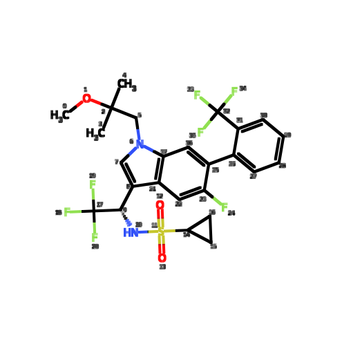 COC(C)(C)Cn1cc([C@H](NS(=O)(=O)C2CC2)C(F)(F)F)c2cc(F)c(-c3ccccc3C(F)(F)F)cc21